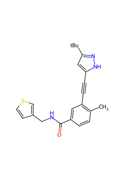 Cc1ccc(C(=O)NCc2ccsc2)cc1C#Cc1cc(C(C)(C)C)n[nH]1